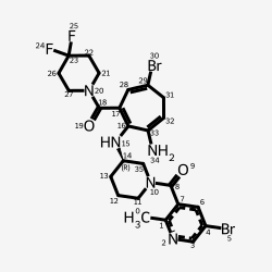 Cc1ncc(Br)cc1C(=O)N1CCC[C@@H](NC2=C(C(=O)N3CCC(F)(F)CC3)C=C(Br)CC=C2N)C1